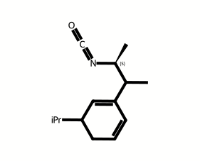 CC(C)C1C=C(C(C)[C@H](C)N=C=O)C=CC1